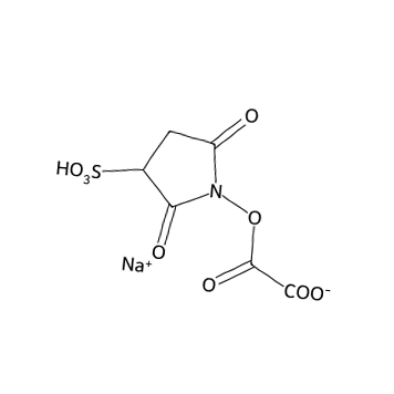 O=C([O-])C(=O)ON1C(=O)CC(S(=O)(=O)O)C1=O.[Na+]